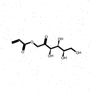 C=CC(=O)OCC(=O)[C@H](O)[C@@H](O)[C@H](O)CO